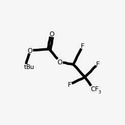 CC(C)(C)OC(=O)O[C](F)C(F)(F)C(F)(F)F